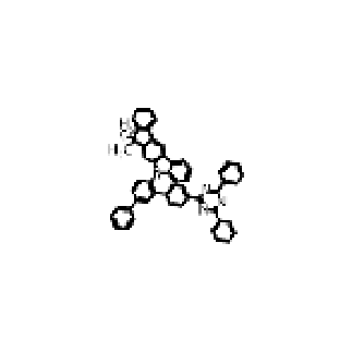 CC1(C)c2ccccc2-c2cc3c4ccccc4n(-c4ccc(-c5ccccc5)cc4-c4ccc(-c5nc(-c6ccccc6)nc(-c6ccccc6)n5)cc4)c3cc21